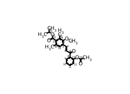 COc1c(C=CC(=O)c2ccccc2OC(C)=O)cc(C)c(C(=O)OC(C)C)c1C